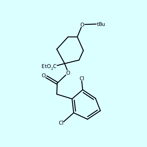 CCOC(=O)C1(OC(=O)Cc2c(Cl)cccc2Cl)CCC(OC(C)(C)C)CC1